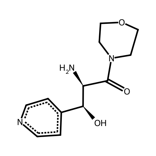 N[C@@H](C(=O)N1CCOCC1)[C@@H](O)c1ccncc1